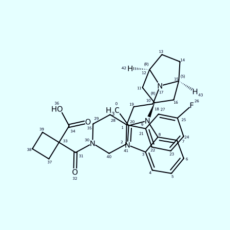 Cc1nc2ccccc2n1[C@H]1C[C@H]2CC[C@@H](C1)N2CCC1(c2cccc(F)c2)CCN(C(=O)C2(C(=O)O)CCC2)CC1